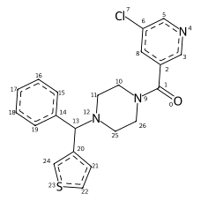 O=C(c1cncc(Cl)c1)N1CCN(C(c2ccccc2)c2ccsc2)CC1